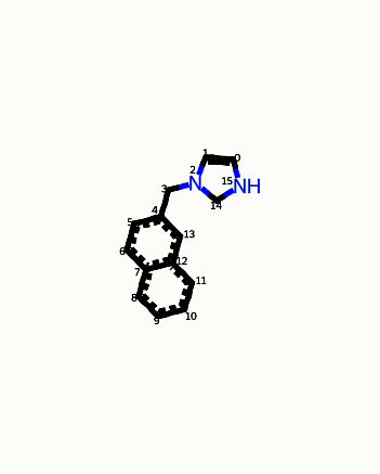 C1=CN(Cc2ccc3ccccc3c2)CN1